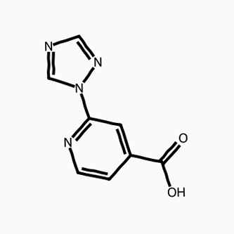 O=C(O)c1ccnc(-n2cncn2)c1